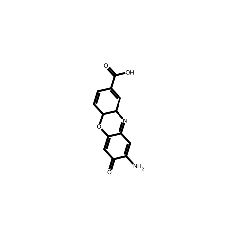 NC1=CC2=NC3C=C(C(=O)O)C=CC3OC2=CC1=O